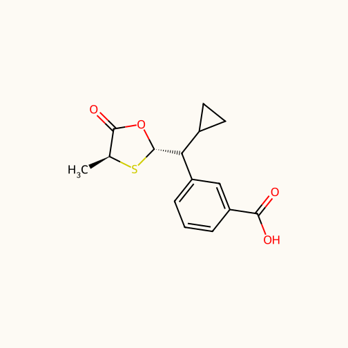 C[C@@H]1S[C@@H](C(c2cccc(C(=O)O)c2)C2CC2)OC1=O